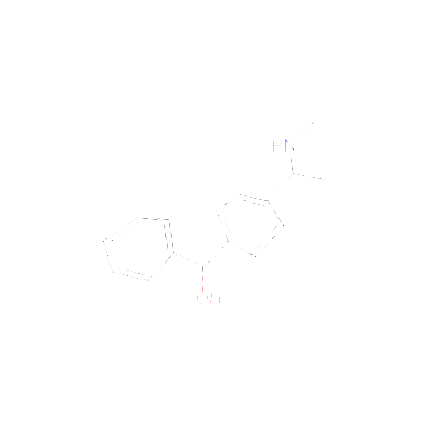 CNC(C)c1ccc(C(O)c2ccccc2)cc1